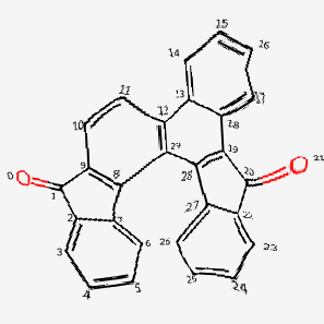 O=c1c2ccccc2c2c1ccc1c3ccccc3c3c(=O)c4ccccc4c3c12